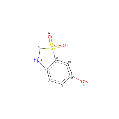 O=S1(=O)CNc2ccc(O)cc21